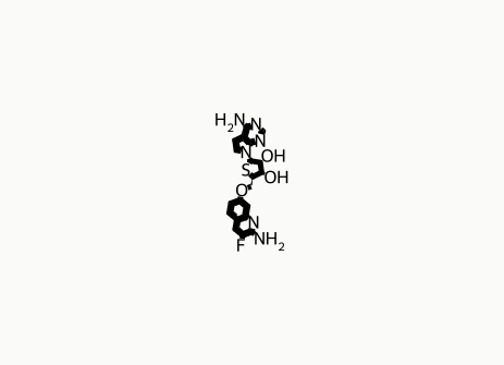 Nc1nc2cc(OC[C@@H]3SC(n4ccc5c(N)ncnc54)[C@@H](O)[C@H]3O)ccc2cc1F